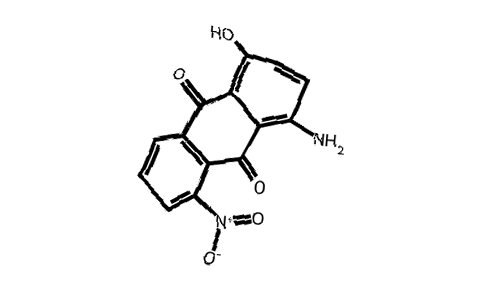 Nc1ccc(O)c2c1C(=O)c1c(cccc1[N+](=O)[O-])C2=O